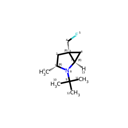 C[C@@H]1C[C@@]2(CF)C[C@H]2N1C(C)(C)C